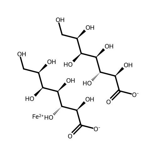 O=C([O-])[C@H](O)[C@H](O)[C@H](O)[C@@H](O)[C@H](O)CO.O=C([O-])[C@H](O)[C@H](O)[C@H](O)[C@@H](O)[C@H](O)CO.[Fe+2]